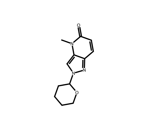 Cn1c(=O)ccc2nn(C3CCCCO3)cc21